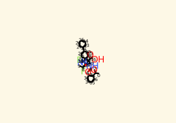 CC(OC(=O)Nc1c(F)cnn1C1(C2(C(=O)O)CC2)C=CC(c2ccccc2)=C[C@H]1F)c1ccccc1